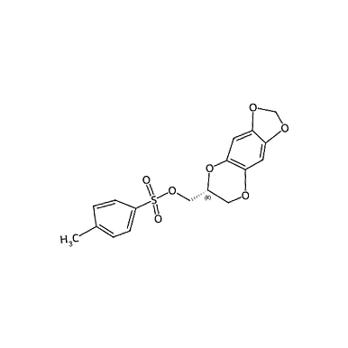 Cc1ccc(S(=O)(=O)OC[C@H]2COc3cc4c(cc3O2)OCO4)cc1